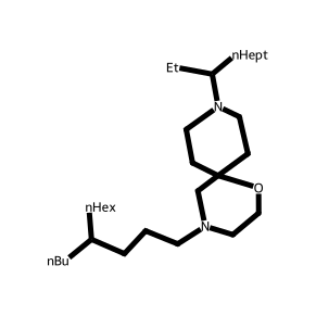 CCCCCCCC(CC)N1CCC2(CC1)CN(CCCC(CCCC)CCCCCC)CCO2